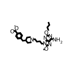 CCCCOc1nc(N)c2nc(OC)n(CCCCN3CCC(Cc4ccc(C(=O)OC)cc4)CC3)c2n1